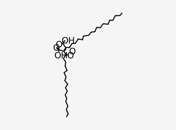 CCCCCCCCCCCCCCCCCC(=O)/C(C(=O)O)=C(/C(=O)O)C(=O)CCCCCCCCCCCCCCCCC